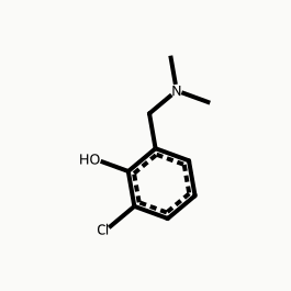 CN(C)Cc1cccc(Cl)c1O